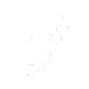 CC(F)(F)C1CC(Oc2nn(CC(=O)Nc3nc4ccccn4n3)c(=O)c3ccc(Br)cc23)C1